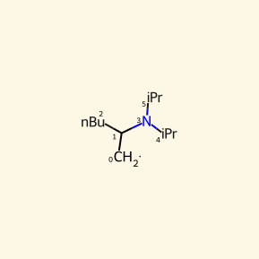 [CH2]C(CCCC)N(C(C)C)C(C)C